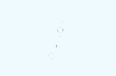 CC(C)NC(=O)c1ccc(N2CC(CNC3CC3c3ccccc3)C2)c(Cl)c1